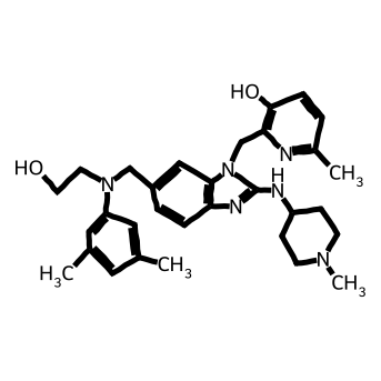 Cc1cc(C)cc(N(CCO)Cc2ccc3nc(NC4CCN(C)CC4)n(Cc4nc(C)ccc4O)c3c2)c1